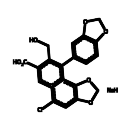 O=C(O)c1cc2c(Cl)cc3c(c2c(-c2ccc4c(c2)OCO4)c1CO)OCO3.[NaH]